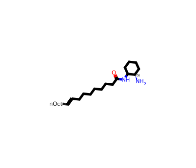 CCCCCCCCC=CCCCCCCCC(=O)NC1CCCC[C@@H]1N